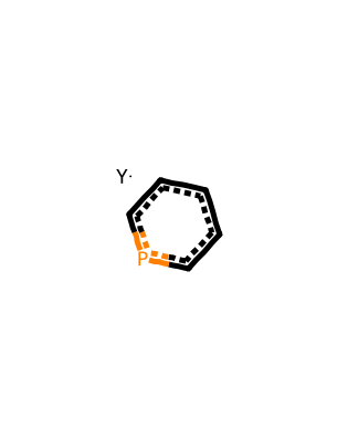 [Y].c1ccpcc1